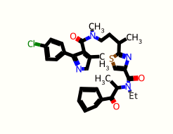 CCN(C(=O)c1csc(C(C)CCN(C)C(=O)C2=C(C)CN=C2c2ccc(Cl)cc2)n1)C(C)C(=O)c1ccccc1